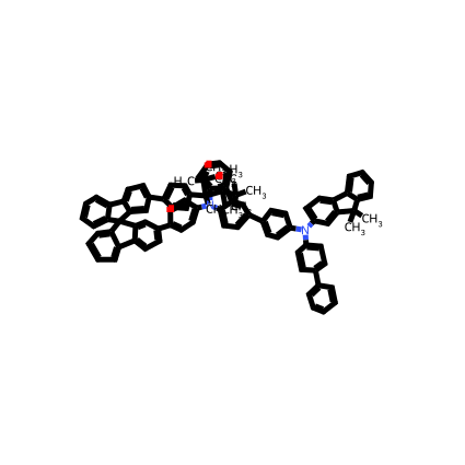 CC1(C)c2ccccc2-c2ccc(N(c3ccc(-c4ccccc4)cc3)c3ccc(-c4ccc5c(c4)c4ccccc4n5-c4ccc(-c5ccc6c(c5)C5(c7ccccc7-6)c6ccccc6-c6ccc(-c7ccc(C(C)(C(C)(C)C)C(C)(C)C(C)(C)C)cc7)cc65)cc4)cc3)cc21